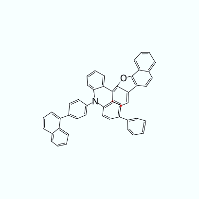 c1ccc(-c2ccc(N(c3ccc(-c4cccc5ccccc45)cc3)c3ccccc3-c3cccc4c3oc3c5ccccc5ccc43)cc2)cc1